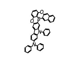 c1ccc(N(c2ccccc2)c2ccc3c4cc5c(cc4n(-c4ccccc4)c3c2)B2c3cc4ccccc4cc3Oc3cccc(c32)O5)cc1